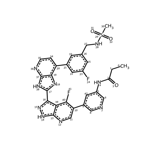 CCC(=O)Nc1cncc(-c2cnc3[nH]nc(-c4nc5c(-c6cc(F)cc(CNS(C)(=O)=O)c6)ccnc5[nH]4)c3c2F)c1